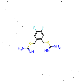 N=C(N)SCc1cc(F)c(F)cc1CSC(=N)N